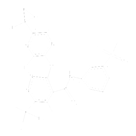 Cc1c(C(F)(F)F)nnc(Oc2ncc(C3(F)CC3)nc2F)c1C(=O)Nc1cccc(S(C)(=O)=O)c1